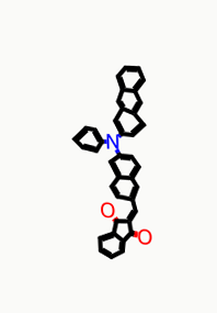 O=C1C(=Cc2ccc3cc(N(c4ccccc4)c4ccc5cc6ccccc6cc5c4)ccc3c2)C(=O)c2ccccc21